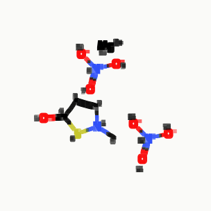 Cn1ccc(=O)s1.O=[N+]([O-])[O-].O=[N+]([O-])[O-].[Mg+2]